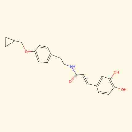 O=C(/C=C/c1ccc(O)c(O)c1)NCCc1ccc(OCC2CC2)cc1